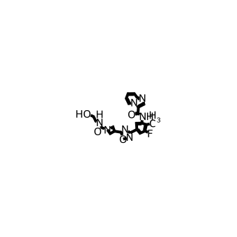 Cc1c(F)cc(-c2noc(C3CN(C(=O)NCCO)C3)n2)cc1NC(=O)c1cnc2ccccn12